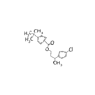 CC(CCOC(=O)c1ccc(C(C)(C)C)cc1)c1ccc(Cl)cc1